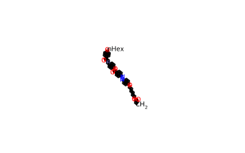 C=CC(=O)OCCCCCCOc1ccc(/N=N/c2ccc(C(=O)Oc3ccc(/C=C/C(=O)c4ccc(OCCCCCC)cc4)cc3)cc2)cc1